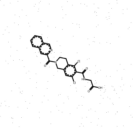 O=C(O)CNC(=O)c1c(Cl)cc2c(c1Cl)CCN(C(=O)c1cc3ccccc3cn1)C2